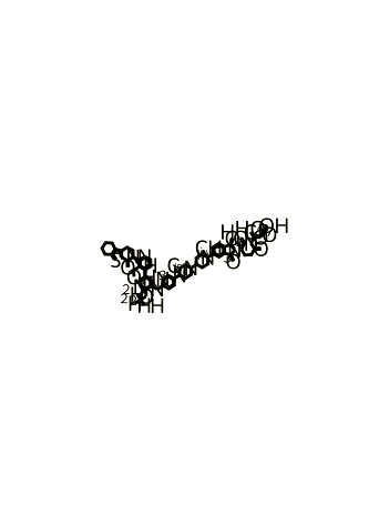 [2H]C([2H])([2H])Oc1ncc(-c2ccnc(N3CCc4c(sc5c4CCCC5)C3=O)c2CO)cc1Nc1ccc(N2CCN(C3CCN(c4ccc5c(c4)C(=O)N(C4CCC(=O)N(C(C)OP(=O)(O)O)C4=O)C5=O)[C@@H](C)C3)C[C@@H]2C)cn1